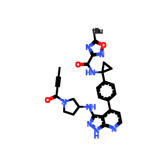 CC#CC(=O)N1CCC(Nc2n[nH]c3nccc(-c4ccc(C5(NC(=O)c6noc(C(C)(C)C)n6)CC5)cc4)c23)C1